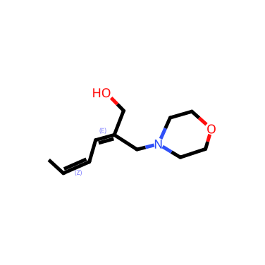 C/C=C\C=C(\CO)CN1CCOCC1